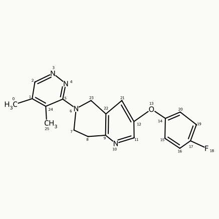 Cc1cnnc(N2CCc3ncc(Oc4ccc(F)cc4)cc3C2)c1C